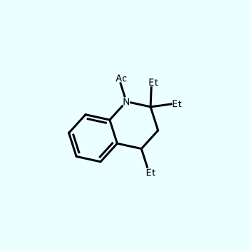 CCC1CC(CC)(CC)N(C(C)=O)c2ccccc21